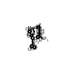 C#CC(C)Oc1cc(N2C(=O)C3=C(CCCC3)C2=O)c(F)cc1Cl.COc1nc(C)nc(NC(=O)NS(=O)(=O)c2ccccc2CCC(F)(F)F)n1.O=C(O)COc1ccc(Cl)c2cccnc12